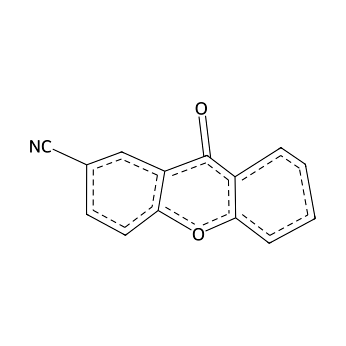 N#Cc1ccc2oc3ccccc3c(=O)c2c1